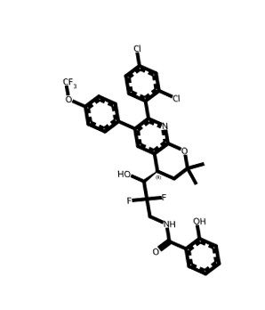 CC1(C)C[C@@H](C(O)C(F)(F)CNC(=O)c2ccccc2O)c2cc(-c3ccc(OC(F)(F)F)cc3)c(-c3ccc(Cl)cc3Cl)nc2O1